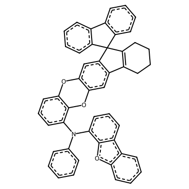 c1ccc(N(c2cccc3c2Oc2cc4c(cc2O3)C2(C3=C4CCCC3)c3ccccc3-c3ccccc32)c2cccc3c2oc2ccccc23)cc1